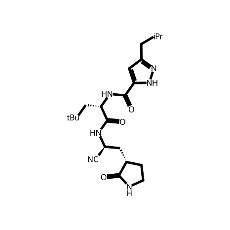 CC(C)Cc1cc(C(=O)N[C@@H](CC(C)(C)C)C(=O)N[C@H](C#N)C[C@@H]2CCNC2=O)[nH]n1